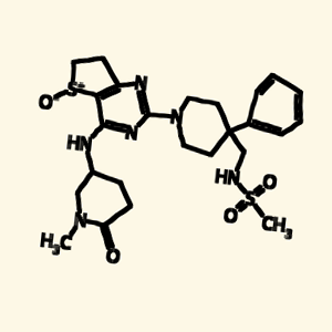 CN1CC(Nc2nc(N3CCC(CNS(C)(=O)=O)(c4ccccc4)CC3)nc3c2[S+]([O-])CC3)CCC1=O